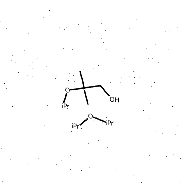 CC(C)OC(C)(C)CO.CC(C)OC(C)C